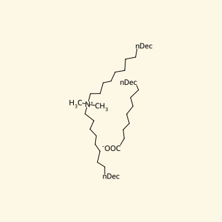 CCCCCCCCCCCCCCCCCC(=O)[O-].CCCCCCCCCCCCCCCCCC[N+](C)(C)CCCCCCCCCCCCCCCCCC